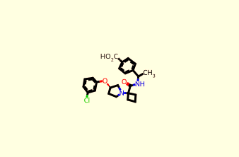 CC(NC(=O)C1(N2CC[C@@H](Oc3cccc(Cl)c3)C2)CCC1)c1ccc(C(=O)O)cc1